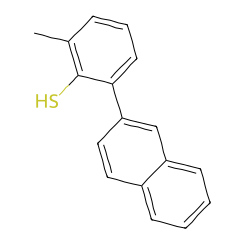 Cc1cccc(-c2ccc3ccccc3c2)c1S